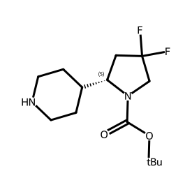 CC(C)(C)OC(=O)N1CC(F)(F)C[C@H]1C1CCNCC1